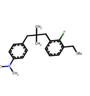 CN(C)c1ccc(CC(C)(C)Cc2cccc(CC(C)(C)C)c2F)cc1